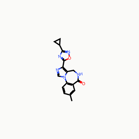 Cc1ccc2c(c1)C(=O)NCc1c(-c3nc(C4CC4)no3)ncn1-2